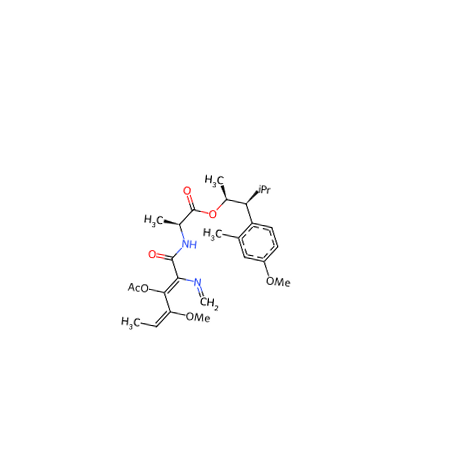 C=N/C(C(=O)N[C@@H](C)C(=O)O[C@@H](C)[C@H](c1ccc(OC)cc1C)C(C)C)=C(OC(C)=O)\C(=C/C)OC